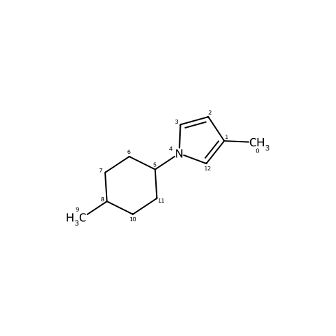 Cc1ccn(C2CCC(C)CC2)c1